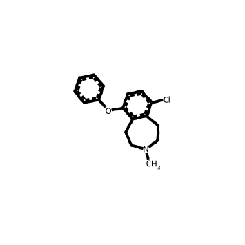 CN1CCc2c(Cl)ccc(Oc3ccccc3)c2CC1